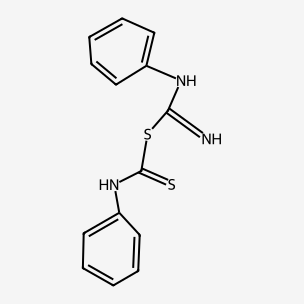 N=C(Nc1ccccc1)SC(=S)Nc1ccccc1